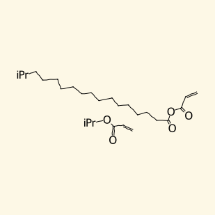 C=CC(=O)OC(=O)CCCCCCCCCCCCCCC(C)C.C=CC(=O)OC(C)C